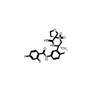 C[C@@]1(c2cc(NC(=O)c3ccc(F)cc3F)ccc2F)CS(=O)(=O)[C@]2(CCOC2)C(=N)N1